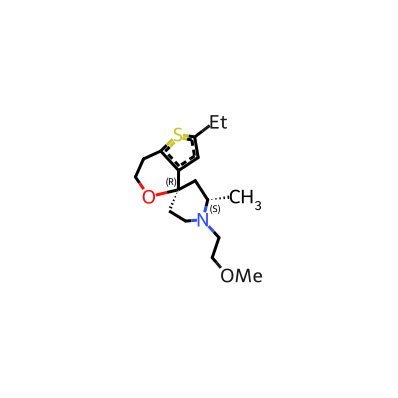 CCc1cc2c(s1)CCO[C@@]21CCN(CCOC)[C@@H](C)C1